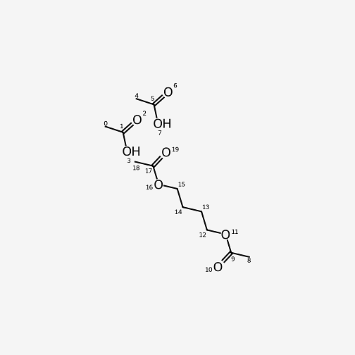 CC(=O)O.CC(=O)O.CC(=O)OCCCCOC(C)=O